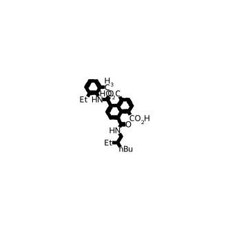 CCCCC(CC)CNC(=O)c1ccc(C(=O)Nc2c(C)cccc2CC)c2c(C(=O)O)ccc(C(=O)O)c12